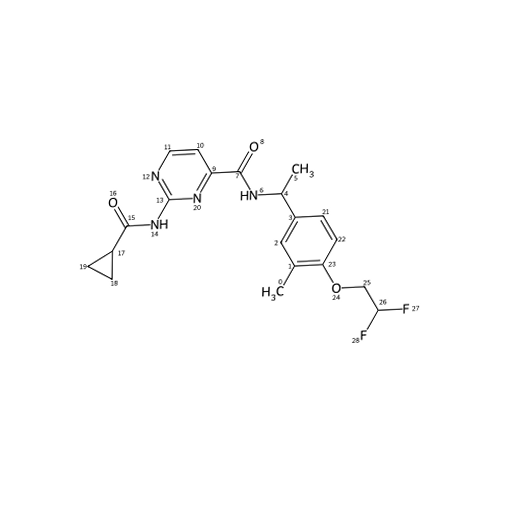 Cc1cc(C(C)NC(=O)c2ccnc(NC(=O)C3CC3)n2)ccc1OCC(F)F